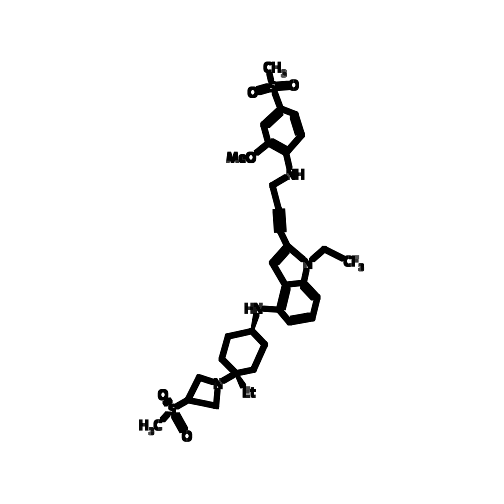 CC[C@]1(N2CC(S(C)(=O)=O)C2)CC[C@H](Nc2cccc3c2cc(C#CCNc2ccc(S(C)(=O)=O)cc2OC)n3CC(F)(F)F)CC1